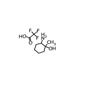 CC1(O)CCCCC1N.O=C(O)C(F)(F)F